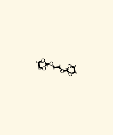 C1COC(OCCOC2OCCO2)O1